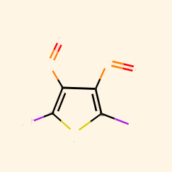 O=Pc1c(I)sc(I)c1P=O